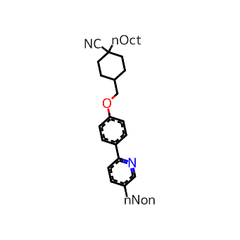 CCCCCCCCCc1ccc(-c2ccc(OCC3CCC(C#N)(CCCCCCCC)CC3)cc2)nc1